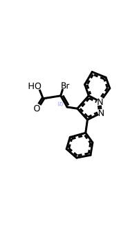 O=C(O)/C(Br)=C/c1c(-c2ccccc2)nn2ccccc12